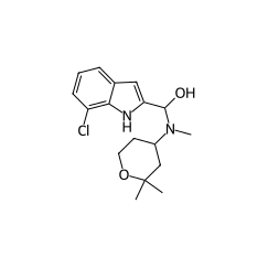 CN(C1CCOC(C)(C)C1)C(O)c1cc2cccc(Cl)c2[nH]1